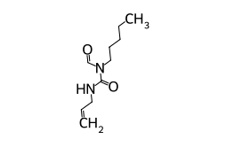 C=CCNC(=O)N(C=O)CCCCC